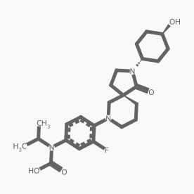 CC(C)N(C(=O)O)c1ccc(N2CCC[C@]3(CCN([C@H]4CC[C@H](O)CC4)C3=O)C2)c(F)c1